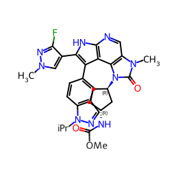 COC(=O)N[C@@H]1CC[C@@H](n2c(=O)n(C)c3cnc4[nH]c(-c5cn(C)nc5F)c(-c5ccc6c(cnn6C(C)C)c5)c4c32)C1